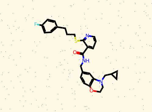 O=C(NCc1ccc2c(c1)N(CC1CC1)CCO2)c1cccnc1SCCCc1ccc(F)cc1